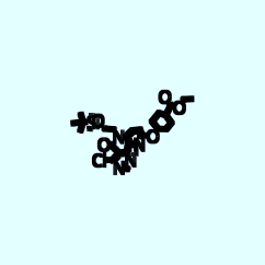 CCOC(=O)C1CCC(Oc2ccc(N(CCO[Si](C)(C)C(C)(C)C)C(=O)c3c(Cl)ncnc3Cl)cn2)CC1